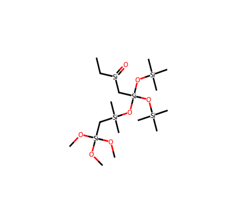 CC[Si](=O)C[Si](O[Si](C)(C)C)(O[Si](C)(C)C)O[Si](C)(C)C[Si](OC)(OC)OC